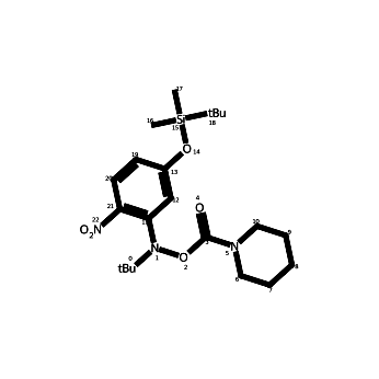 CC(C)(C)N(OC(=O)N1CCCCC1)c1cc(O[Si](C)(C)C(C)(C)C)ccc1[N+](=O)[O-]